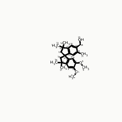 COc1cc2c(cc1OC)C1(CC(C)(C)c3cc(CO)c(C)cc31)CC2(C)C